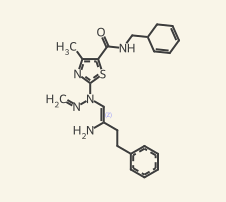 C=NN(/C=C(\N)CCc1ccccc1)c1nc(C)c(C(=O)NCC2C=CC=CC2)s1